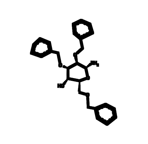 N[C@@H]1O[C@H](COCc2ccccc2)[C@H](O)[C@H](OCc2ccccc2)[C@H]1OCc1ccccc1